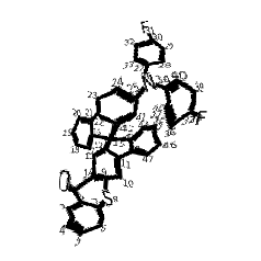 O=c1c2ccccc2sc2cc3c(cc12)C1(c2ccccc2-c2ccc(N(c4ccc(F)cc4)c4ccc(F)cc4)cc21)c1ccccc1-3